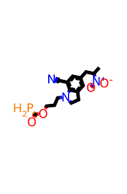 CC(Cc1cc(C#N)c2c(c1)CCN2CCCOC(=O)P)[N+](=O)[O-]